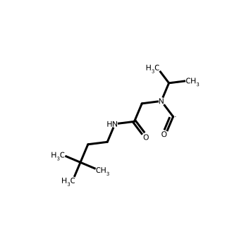 CC(C)N([C]=O)CC(=O)NCCC(C)(C)C